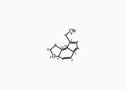 N#CCC1=CC=C2C=CC3OCCC3=C21